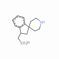 CCOC(=O)CC1CC2(CCNCC2)c2ccccc21